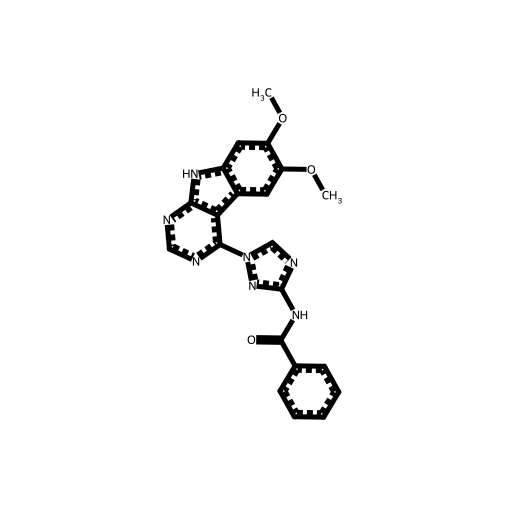 COc1cc2[nH]c3ncnc(-n4cnc(NC(=O)c5ccccc5)n4)c3c2cc1OC